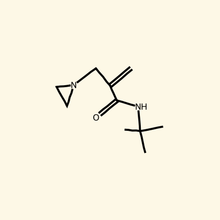 C=C(CN1CC1)C(=O)NC(C)(C)C